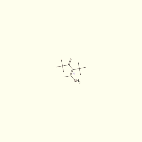 C=C(/C(=C(\C)N)C(C)(C)C)C(C)(C)C